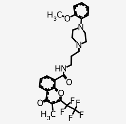 COc1ccccc1N1CCN(CCCNC(=O)c2cccc3c(=O)c(C)c(C(F)(F)C(F)(F)F)oc23)CC1